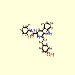 Cc1cccc(C)c1NC(=O)c1cc2c([nH]c3ccccc32)c(CCc2ccc(O)cc2)n1